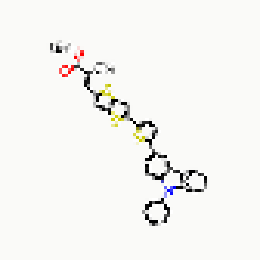 CC(C)(C)OC(=O)/C(C#N)=C/c1cc2sc(-c3ccc(-c4ccc5c(c4)C4C6CCC(C6)C4N5c4ccccc4)s3)cc2s1